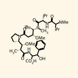 CC[C@H](C)[C@@H]([C@@H](CC(=O)N1CCC[C@H]1[C@H](OC)[C@@H](C)C(=O)NC(C(=O)O)C(O)c1ccccc1)OC)N(C)C(=O)[C@@H](NC(=O)C(NC)C(C)C)C(C)C